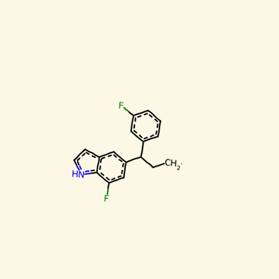 [CH2]CC(c1cccc(F)c1)c1cc(F)c2[nH]ccc2c1